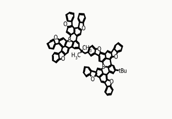 CC(C)(C)c1cc2c3c(c1)-c1c4oc5ccccc5c4cc4c1c(cc1c5cc(CC(C)(C)c6cc7c8c(c6)-c6cc9oc%10ccccc%10c9c9c6c(cc6oc%10ccccc%10c69)B8c6cc8oc9ccccc9c8c8c6c-7cc6oc7ccccc7c68)ccc5oc41)B3c1cc3c4ccccc4oc3c3cc4c(oc5ccccc54)c-2c13